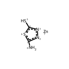 Nc1nnc(S)s1.[Zn]